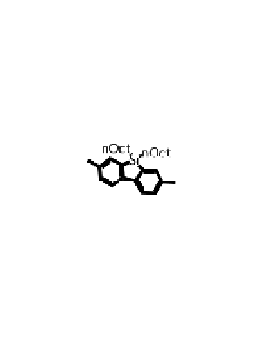 CCCCCCCC[Si]1(CCCCCCCC)c2cc(C)ccc2-c2ccc(C)cc21